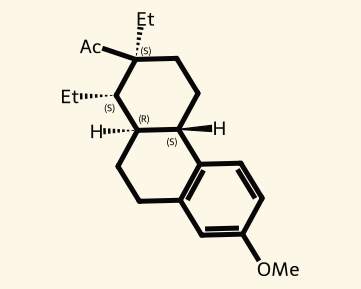 CC[C@H]1[C@@H]2CCc3cc(OC)ccc3[C@H]2CC[C@]1(CC)C(C)=O